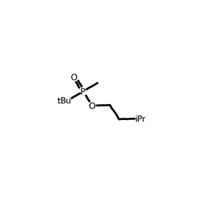 CC(C)CCOP(C)(=O)C(C)(C)C